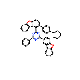 C1=CC(c2ccc(-c3ccc4oc5ccccc5c4c3-c3nc(-c4ccccc4)nc(-c4ccc5oc6ccccc6c5c4)n3)cc2)=CCC1